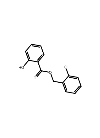 O=C(OCc1ccccc1Cl)c1ccccc1O